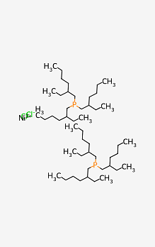 CCCCC(CC)CP(CC(CC)CCCC)CC(CC)CCCC.CCCCC(CC)CP(CC(CC)CCCC)CC(CC)CCCC.[Cl-].[Cl-].[Ni+2]